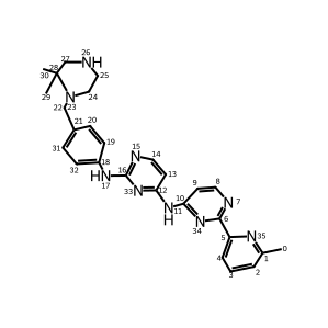 Cc1cccc(-c2nccc(Nc3ccnc(Nc4ccc(CN5CCNCC5(C)C)cc4)n3)n2)n1